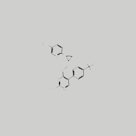 Cc1ccc([C@H]2C[C@@H]2COc2nc(C)ncc2-c2ccc(C(F)(F)F)cc2)nc1